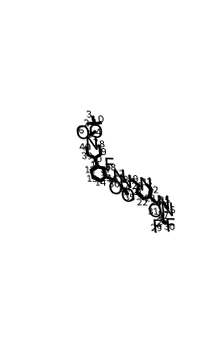 CC(C)(C)OC(=O)N1CCC(c2cccc(-c3nn(Cc4ccc(-c5nnc(C(F)F)o5)cn4)c(=O)o3)c2F)CC1